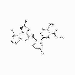 CCCCOC(=O)N(NC(=O)c1cc(Cl)cc(C)c1NC(=O)c1cc(Br)nn1-c1ncccc1Cl)C(=O)OC